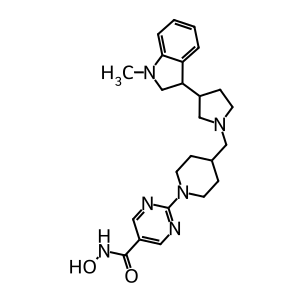 CN1CC(C2CCN(CC3CCN(c4ncc(C(=O)NO)cn4)CC3)C2)c2ccccc21